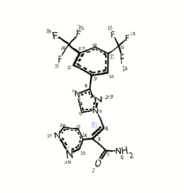 NC(=O)/C(=C/n1cnc(-c2cc(C(F)(F)F)cc(C(F)(F)F)c2)n1)c1ccnnc1